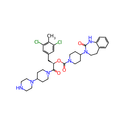 Cc1c(Cl)cc(C[C@@H](OC(=O)N2CCC(N3CCc4ccccc4NC3=O)CC2)C(=O)N2CCC(N3CCNCC3)CC2)cc1Cl